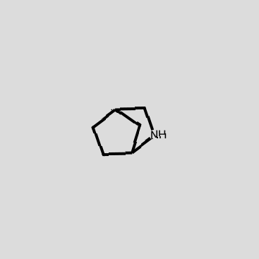 C1CC2C[C]1CN2